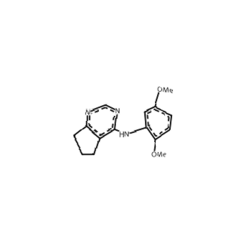 COc1ccc(OC)c(Nc2ncnc3c2CCC3)c1